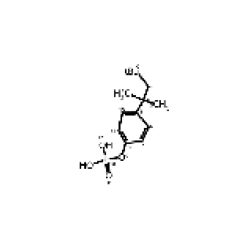 CC(C)(C)CC(C)(C)c1ccc(OP(=O)(O)O)cc1